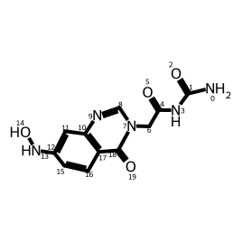 NC(=O)NC(=O)Cn1cnc2cc(NO)ccc2c1=O